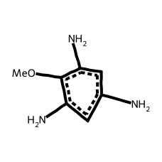 COc1c(N)cc(N)cc1N